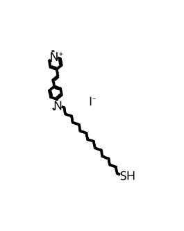 CN(CCCCCCCCCCCCCCCCS)c1ccc(/C=C/c2cc[n+](C)cc2)cc1.[I-]